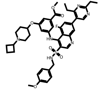 CCc1ncc(-c2cc(F)c3c(Nc4cc(OC5CCN(C6CCC6)CC5)cc(C(=O)OC)c4)c(S(=O)(=O)NCc4ccc(OC)cc4)cnc3c2)c(CC)n1